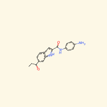 CCC(=O)c1ccc2cc(C(=O)Nc3ccc(N)cc3)[nH]c2c1